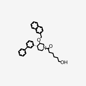 O=C(CCCCCO)N1CC[C@H](c2cccc(-c3ccccc3)c2)[C@@H](OCc2ccc3ccccc3c2)C1